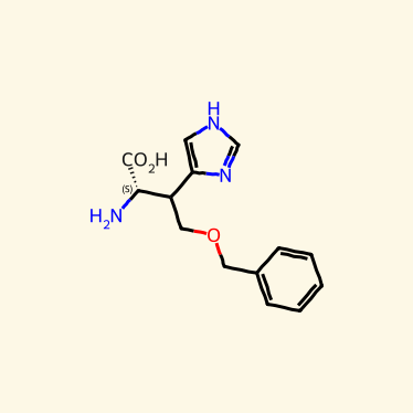 N[C@H](C(=O)O)C(COCc1ccccc1)c1c[nH]cn1